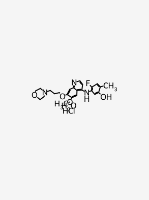 COc1cc2c(Nc3cc(O)c(C)cc3F)ccnc2cc1OCCCN1CCOCC1.Cl.O